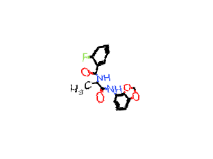 CC(NC(=O)c1ccccc1F)C(=O)Nc1cccc2c1OCO2